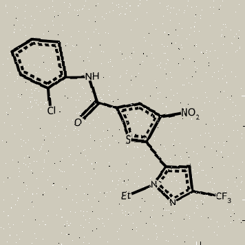 CCn1nc(C(F)(F)F)cc1-c1sc(C(=O)Nc2ccccc2Cl)cc1[N+](=O)[O-]